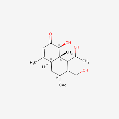 CC(=O)O[C@@H]1C[C@H]2C(C)=CC(=O)[C@@H](O)[C@]2(C)C(C(C)O)C1CO